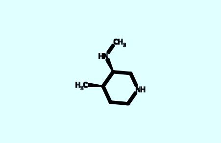 CN[C@H]1CNCC[C@H]1C